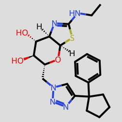 CCNC1=N[C@@H]2[C@@H](O)[C@H](O)[C@@H](Cn3cc(C4(c5ccccc5)CCCC4)nn3)O[C@@H]2S1